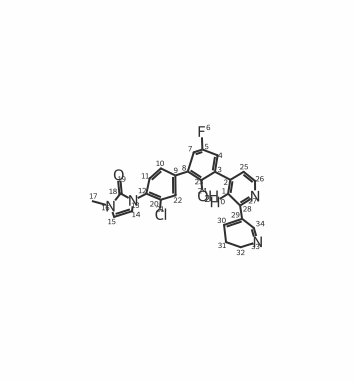 [2H]c1c(-c2cc(F)cc(-c3ccc(-n4ccn(C)c4=O)c(Cl)c3)c2O)ccnc1C1=CCCN=C1